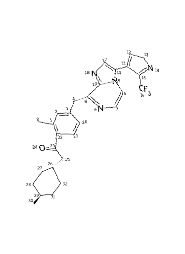 Cc1cc(Cc2nccn3c(C4=CCN=C4C(F)(F)F)cnc23)ccc1C(=O)C[C@H]1CC[C@H](C)CC1